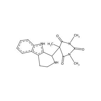 CN1C(=O)N(C)C(=O)C(C)(C2NCCc3c2[nH]c2ccccc32)C1=O